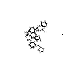 CC[C@@H](NC(=O)c1ccc2c(c1)/C(=C(/Nc1cccc(CN3CCCC3)c1)c1cnn(C)c1)C(=O)N2)c1ccccc1